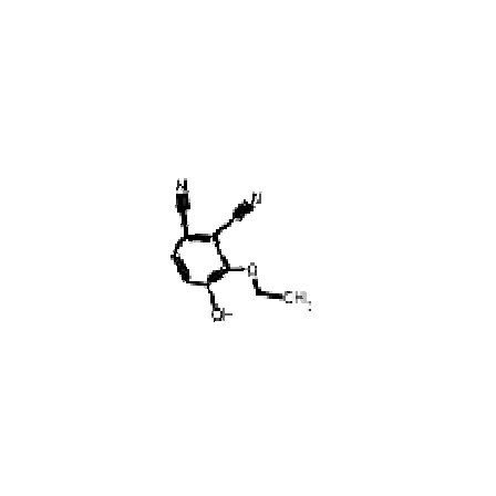 CCOc1c(O)ccc(C#N)c1C#N